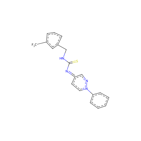 FC(F)(F)c1cccc(CNC(=S)N=c2ccn(-c3ccccc3)nc2)c1